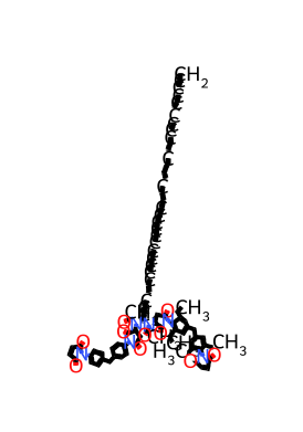 C=C=C=C=C=C=C=C=C=C=C=C=C=C=C=C=C=C=C=C=C=C=C=C=C=C=C=C=C=C=C=C=C=C=C=C(N(C(C)=O)C1CC(=O)N(c2ccc(Cc3ccc(N4C(=O)C=CC4=O)cc3)cc2)C1=O)N(C(C)=O)C1CC(=O)N(c2c(CC)cc(Cc3cc(CC)c(N4C(=O)C=CC4=O)c(CC)c3)cc2CC)C1=O